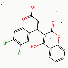 O=C(O)C[C@H](c1ccc(Cl)c(Cl)c1)c1c(O)c2ccccc2oc1=O